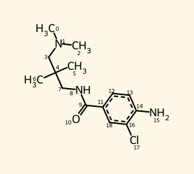 CN(C)CC(C)(C)CNC(=O)c1ccc(N)c(Cl)c1